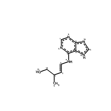 CC(C=CNc1ncnc2nc[nH]c12)CO